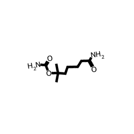 CC(C)(CCCCC(N)=O)OC(N)=O